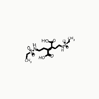 CCS(=O)(=O)NCCC(C(=O)O)=C(CCNS(=O)(=O)CC)C(=O)O